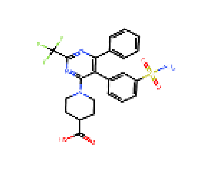 NS(=O)(=O)c1cccc(-c2c(-c3ccccc3)nc(C(F)(F)F)nc2N2CCC(C(=O)O)CC2)c1